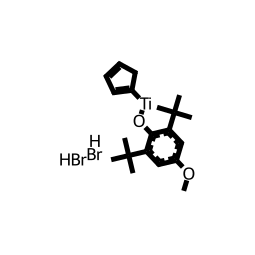 Br.Br.COc1cc(C(C)(C)C)c([O][Ti][C]2=CC=CC2)c(C(C)(C)C)c1